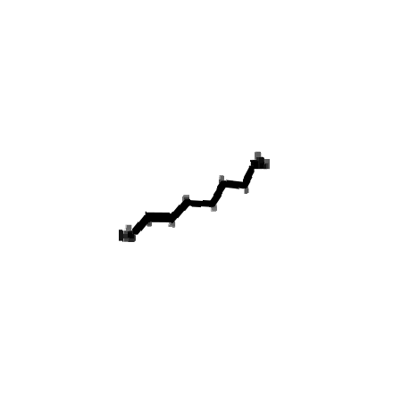 CCCCCCCC/C=C/S